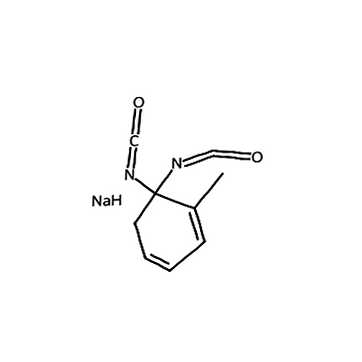 CC1=CC=CCC1(N=C=O)N=C=O.[NaH]